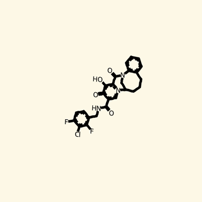 O=C(NCc1ccc(F)c(Cl)c1F)c1cn2c(c(O)c1=O)C(=O)N1CC2CCCc2ccccc21